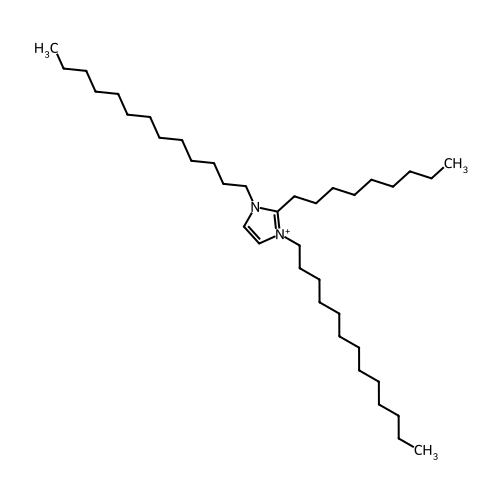 CCCCCCCCCCCCCn1cc[n+](CCCCCCCCCCCCC)c1CCCCCCCCC